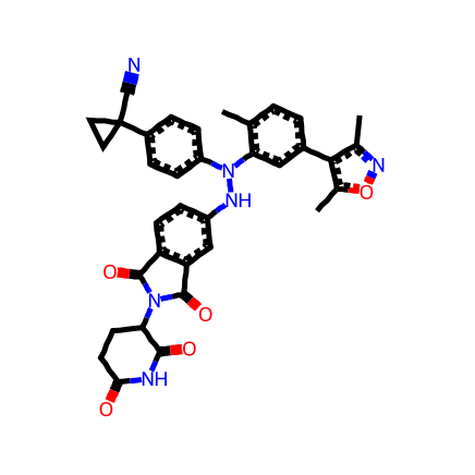 Cc1ccc(-c2c(C)noc2C)cc1N(Nc1ccc2c(c1)C(=O)N(C1CCC(=O)NC1=O)C2=O)c1ccc(C2(C#N)CC2)cc1